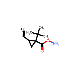 C=CC1CC1(C(=O)ON)C(C)(C)C